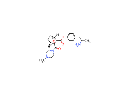 CC(N)Cc1ccc(OC(=O)C2C(C(=O)N3CCN(C)CC3)[C@@H]3CC[C@H]2O3)cc1